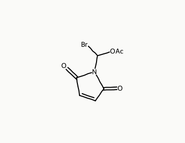 CC(=O)OC(Br)N1C(=O)C=CC1=O